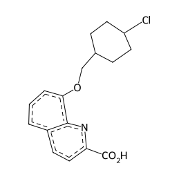 O=C(O)c1ccc2cccc(OCC3CCC(Cl)CC3)c2n1